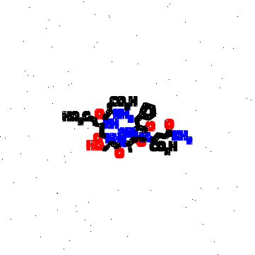 C[C@H](NC(=O)[C@H](CO)NC(=O)[C@H](CCC(=O)O)NC(=O)[C@@H](N)CC(=O)O)C(=O)N[C@@H](Cc1ccccc1)C(=O)N[C@@H](CCC(N)=O)C(=O)O